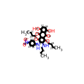 CCCCNc1c(Nc2ccc([N+](=O)[O-])cc2)c(OCCCC)c2c(c1OCCCC)C(=O)c1c(O)ccc(O)c1C2=O